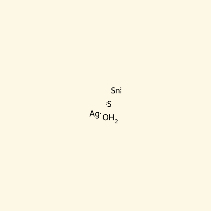 O.[Ag].[S].[Sn]